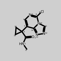 CNC(=O)C1(c2cnc(Cl)n3cnnc23)CC1